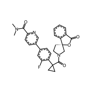 CN(C)C(=O)c1ccc(-c2ccc(C3(C(=O)N4CC[C@@]5(C4)OC(=O)c4ccccc45)CC3)c(F)c2)cn1